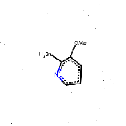 COc1cccn[c]1[SnH3]